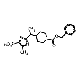 Cc1nc(C(C)C2CCN(C(=O)OCc3ccccc3)CC2)sc1C(=O)O